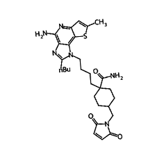 CCCCc1nc2c(N)nc3cc(C)sc3c2n1CCCCC1(C(N)=O)CCC(CN2C(=O)C=CC2=O)CC1